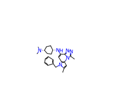 Cc1cc2c(cc(N[C@H]3CC[C@@H](N(C)C)CC3)c3nnc(C)n32)n1Cc1ccccc1